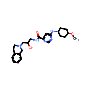 CO[C@H]1CC[C@@H](Nc2cc(C(=O)NCC(O)CN3CCc4ccccc4C3)ncn2)CC1